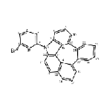 Brc1cccc(-n2c3cccc4c3c3c5c(cccc5ccc32)-c2ccccc2-4)c1